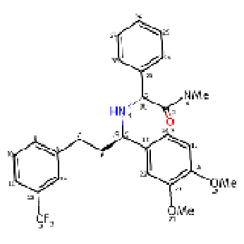 CNC(=O)[C@H](N[C@H](CCc1cccc(C(F)(F)F)c1)c1ccc(OC)c(OC)c1)c1ccccc1